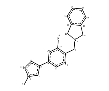 Cn1cc(-c2cnc(CN3Cc4ccccc4C3)c(F)c2)cn1